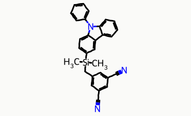 C[Si](C)(Cc1cc(C#N)cc(C#N)c1)c1ccc2c(c1)c1ccccc1n2-c1ccccc1